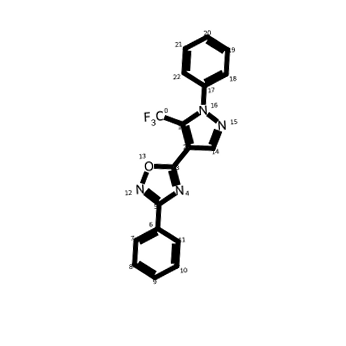 FC(F)(F)c1c(-c2nc(-c3cc[c]cc3)no2)cnn1-c1ccccc1